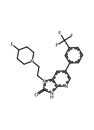 O=c1[nH]c2ncc(-c3cccc(C(F)(F)F)c3)cc2n1CCN1CCC(F)CC1